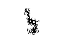 C[C@@H]1Cc2cc(OCCCC(F)(F)F)ccc2C=C1CN1CC(O)(C(=O)O)C1